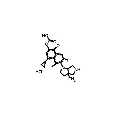 CC12CCN(c3c(F)cc4c(=O)c(OC(=O)O)cn(C5CC5)c4c3F)C1CNC2.Cl